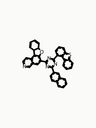 C1=CC2Oc3c(-c4nc(-c5ccc6ccccc6c5)nc(-c5cccc6sc7ccccc7c56)n4)cc4cnccc4c3C2C=C1